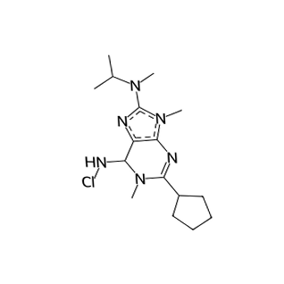 CC(C)N(C)c1nc2c(n1C)N=C(C1CCCC1)N(C)C2NCl